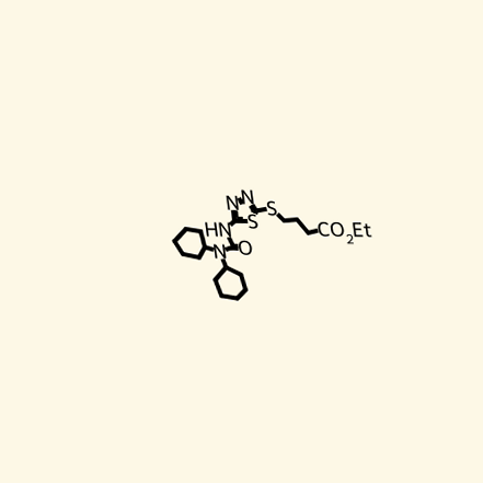 CCOC(=O)CCCSc1nnc(NC(=O)N(C2CCCCC2)C2CCCCC2)s1